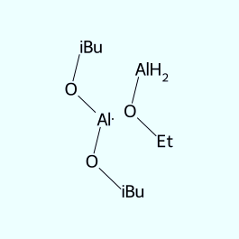 CCC(C)[O][Al][O]C(C)CC.CC[O][AlH2]